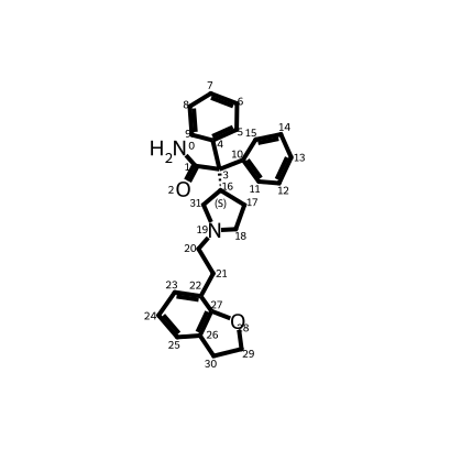 NC(=O)C(c1ccccc1)(c1ccccc1)[C@@H]1CCN(CCc2cccc3c2OCC3)C1